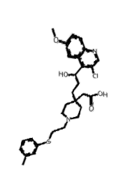 COc1ccc2ncc(Cl)c(C(O)CCC3(CC(=O)O)CCN(CCSc4cccc(C)c4)CC3)c2c1